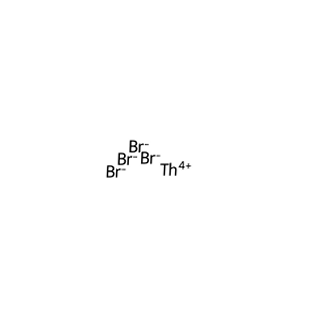 [Br-].[Br-].[Br-].[Br-].[Th+4]